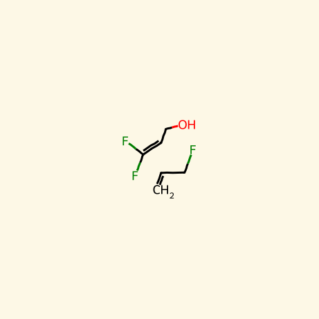 C=CCF.OCC=C(F)F